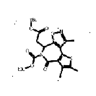 Cc1noc2c1-c1sc(C)c(C)c1C(=O)N(C(=O)OC(C)(C)C)C2CC(=O)OC(C)(C)C